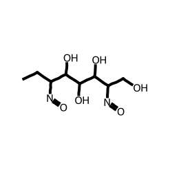 CCC(N=O)C(O)C(O)C(O)C(CO)N=O